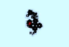 COc1ccc2c(c1)C1CC1(C(=O)N1C3CC1CN(C)C3)Cn1c-2c(C2CCCCC2)c2ccc(C(=O)NS(=O)(=O)Cc3cccc(Cl)c3)cc21